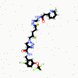 CC(F)(F)Oc1ccc(F)c(CNC(=O)c2cn(CC(F)CCc3nnc(NC(=O)Cc4cccc(F)n4)s3)nn2)c1